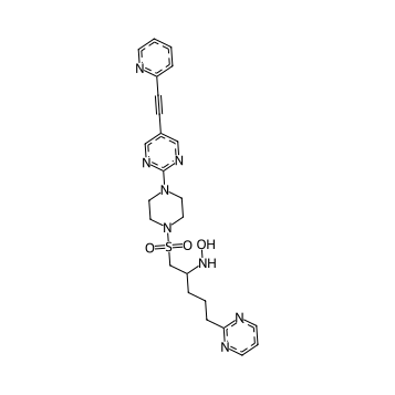 O=S(=O)(CC(CCCc1ncccn1)NO)N1CCN(c2ncc(C#Cc3ccccn3)cn2)CC1